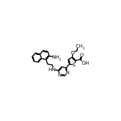 CCOc1cc(-c2cc(NCCc3c(N)ccc4ccccc34)ncn2)sc1C(=O)O